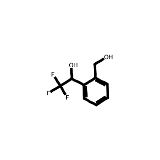 OCc1ccccc1C(O)C(F)(F)F